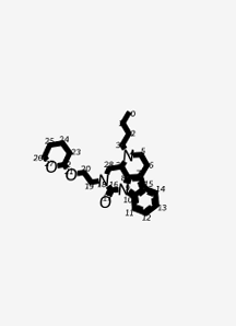 CCCCN1CCc2c3n(c4ccccc24)C(=O)N(CCOC2CCCCO2)CC31